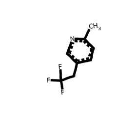 Cc1ccc([CH]C(F)(F)F)cn1